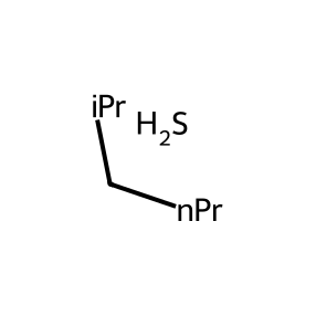 CCCCC(C)C.S